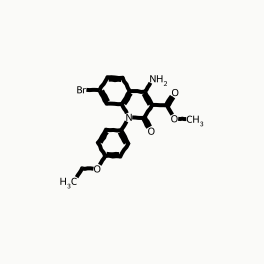 CCOc1ccc(-n2c(=O)c(C(=O)OC)c(N)c3ccc(Br)cc32)cc1